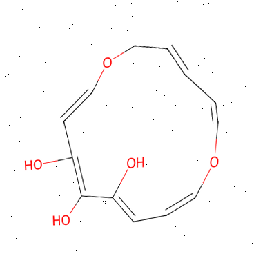 OC1=C\C=C/O/C=C\C=C\CO/C=C/C(O)=C\1O